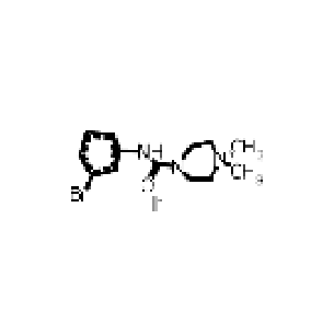 C[N+]1(C)CCN(C(=O)Nc2cccc(Br)c2)CC1.[I-]